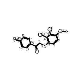 COc1ccc(SCC(=O)c2ccc(F)cc2)c(Cl)c1Cl